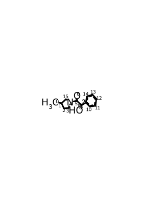 CC1CCN(C(=O)[C@H](O)c2ccccc2)C1